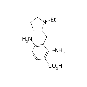 CCN1CCCC1Cc1c(N)ccc(C(=O)O)c1N